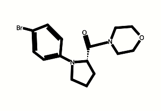 O=C([C@@H]1CCCN1c1ccc(Br)cc1)N1CCOCC1